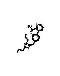 CCCc1nc(Cc2ccc(-c3cccnc3C(=O)O)cc2)n(CCC)n1